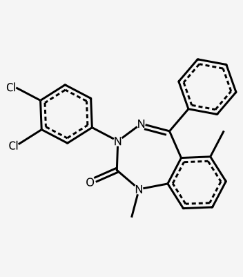 Cc1cccc2c1C(c1ccccc1)=NN(c1ccc(Cl)c(Cl)c1)C(=O)N2C